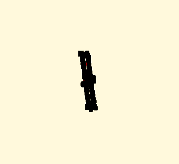 CCCCC=CCCCCCCCC(=O)OCCCCCCCCCCCCCCCC.CCCCCCCCCCC=CCCC(OC)C(=O)OCCCCCCCCCCCCCCCC